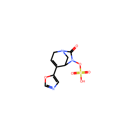 O=C1N2CC=C(c3cnco3)C(C2)N1OS(=O)(=O)O